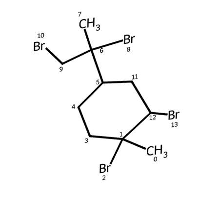 CC1(Br)CCC(C(C)(Br)CBr)CC1Br